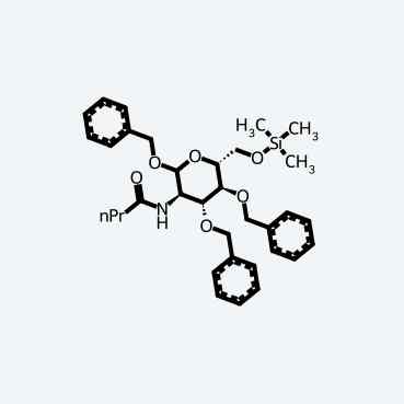 CCCC(=O)N[C@H]1C(OCc2ccccc2)O[C@H](CO[Si](C)(C)C)[C@@H](OCc2ccccc2)[C@@H]1OCc1ccccc1